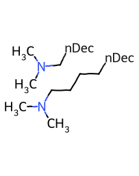 CCCCCCCCCCCCCCN(C)C.CCCCCCCCCCCN(C)C